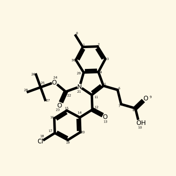 Cc1ccc2c(CCC(=O)O)c(C(=O)c3ccc(Cl)cc3)n(C(=O)OC(C)(C)C)c2c1